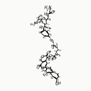 CCc1c2c(nc3ccc(O)cc13)-c1cc3c(c(=O)n1C2)COC(=O)[C@@]3(CC)OC(=O)N(C)CCN(C)C(=O)OCc1ccc(NC(=O)[C@H](CCCNC(N)=O)NC(=O)[C@@H](N)C(C)C)cc1